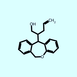 C=CCC(CO)C1c2ccccc2COc2ccccc21